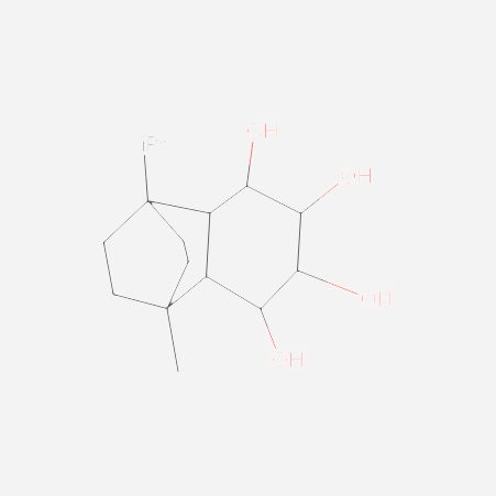 CC(C)C12CCC(C)(CC1)C1C(O)C(O)C(O)C(O)C12